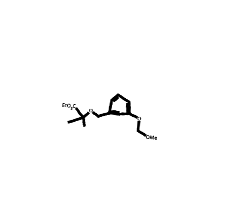 CCOC(=O)C(C)(C)OCc1cccc(OCOC)c1